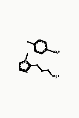 Cc1ccc(S(=O)(=O)O)cc1.Cn1ccnc1CCCS(=O)(=O)O